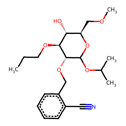 CCCO[C@H]1[C@H](O)[C@@H](COC)OC(OC(C)C)[C@@H]1OCc1ccccc1C#N